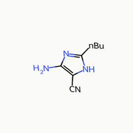 CCCCc1nc(N)c(C#N)[nH]1